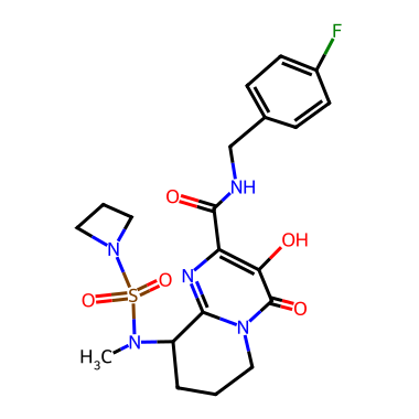 CN(C1CCCn2c1nc(C(=O)NCc1ccc(F)cc1)c(O)c2=O)S(=O)(=O)N1CCC1